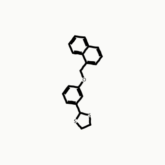 c1cc(OCc2cccc3ccccc23)cc(C2SCCS2)c1